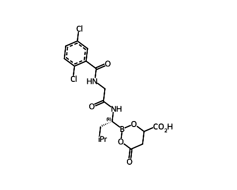 CC(C)C[C@H](NC(=O)CNC(=O)c1cc(Cl)ccc1Cl)B1OC(=O)CC(C(=O)O)O1